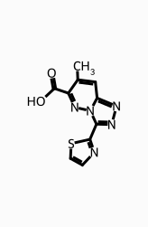 Cc1cc2nnc(-c3nccs3)n2nc1C(=O)O